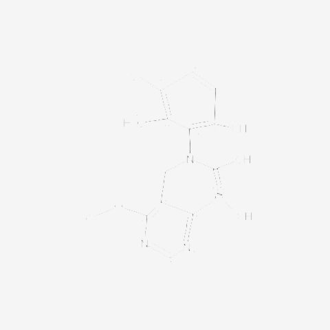 COc1ncnc(OC)c1CN(C(C)=O)c1c(C)ccc(Cl)c1C